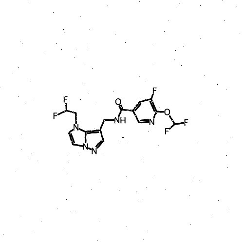 O=C(NCc1cnn2ccn(CC(F)F)c12)c1cnc(OC(F)F)c(F)c1